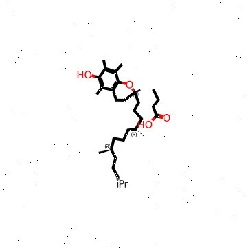 CCCC(=O)O.Cc1c(C)c2c(c(C)c1O)CC[C@@](C)(CCC[C@H](C)CCC[C@H](C)CCCC(C)C)O2